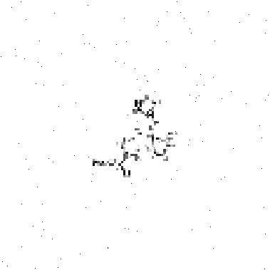 COC(=O)c1ccc(SC(Cn2ccnc2)c2ccccc2C)cc1